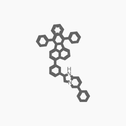 C1=CCCC(C2=c3ccccc3=C(C3=CC=CCC3)C3C4=CC=C(C5=CC=CC(C6CN7CC(C8=CCCC=C8)C=CC7N6)C5)C5C=CC=C(C45)C23)=C1